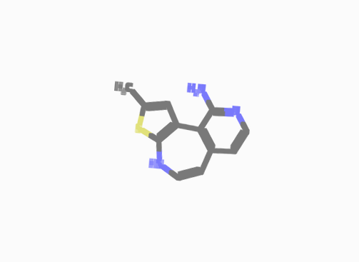 Cc1cc2c(s1)NC=Cc1ccnc(N)c1-2